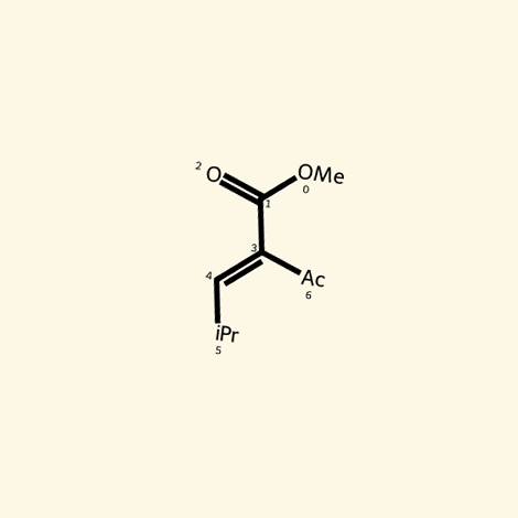 COC(=O)/C(=C/C(C)C)C(C)=O